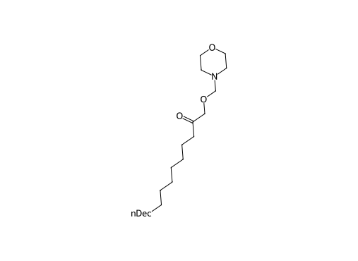 CCCCCCCCCCCCCCCCCC(=O)COCN1CCOCC1